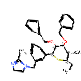 CC[C@H]1S[C@@H](c2cccc(Cn3ccnc3C)c2)[C@H](OCc2ccccc2)[C@@H](OCc2ccccc2)[C@@H]1C